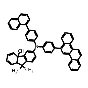 CC1(C)c2ccc(N(c3ccc(-c4cccc5ccccc45)cc3)c3ccc(-c4cc5c6ccccc6ccc5c5ccccc45)cc3)cc2C2(C)C=CC=CC12